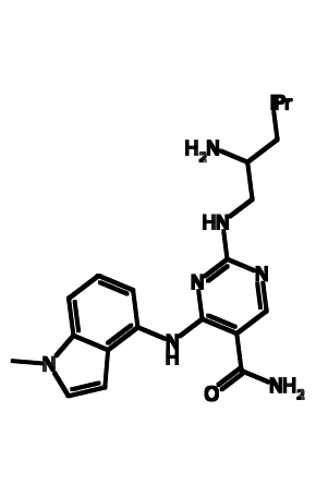 CC(C)CC(N)CNc1ncc(C(N)=O)c(Nc2cccc3c2ccn3C)n1